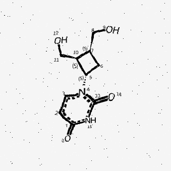 O=c1ccn([C@H]2C[C@H](CO)[C@@H]2CO)c(=O)[nH]1